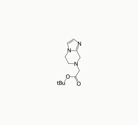 CC(C)(C)OC(=O)CN1CCn2ccnc2C1